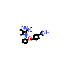 Cc1nnc(N(C)C)c2nn(-c3ccccc3OCc3ccc(C4CNC4)cc3)c(C)c12